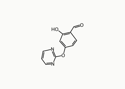 O=Cc1ccc(Oc2ncccn2)cc1O